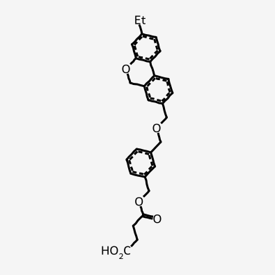 CCc1ccc2c(c1)OCc1cc(COCc3cccc(COC(=O)CCC(=O)O)c3)ccc1-2